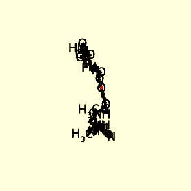 C[C@@H](NC(=O)c1cccc(NC2(c3nnc(-c4ccncc4)[nH]3)CCN(C)CC2)c1)c1cccc(OCCCCCOCCCOCC(=O)N2CCN(c3cc4c(cc3F)C(=O)N(C3CCC(=O)NC3=O)C4=O)CC2)c1